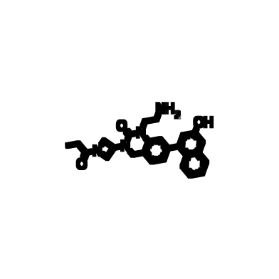 CCC(=O)N1CC(N2Cc3ccc(-c4cc(O)cc5ccccc45)cc3N(CCN)C2=O)C1